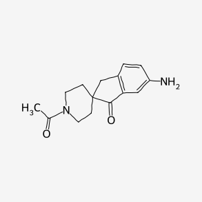 CC(=O)N1CCC2(CC1)Cc1ccc(N)cc1C2=O